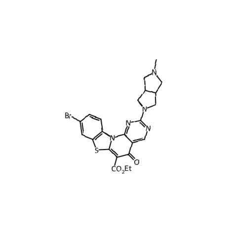 CCOC(=O)c1c(=O)c2cnc(N3CC4CN(C)CC4C3)nc2n2c1sc1cc(Br)ccc12